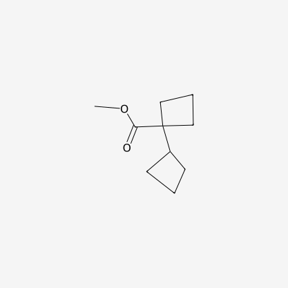 COC(=O)C1(C2CCC2)CCC1